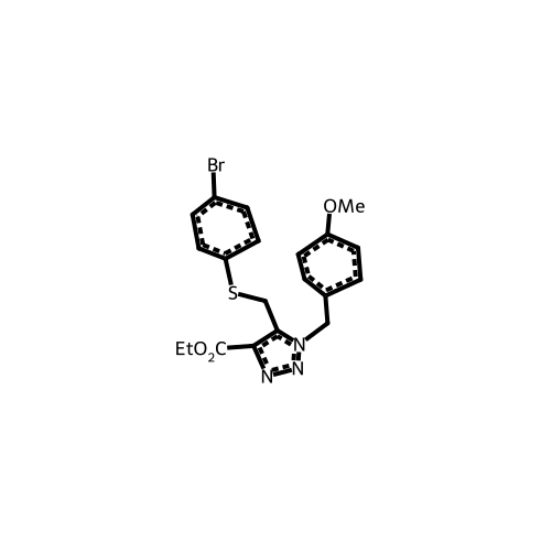 CCOC(=O)c1nnn(Cc2ccc(OC)cc2)c1CSc1ccc(Br)cc1